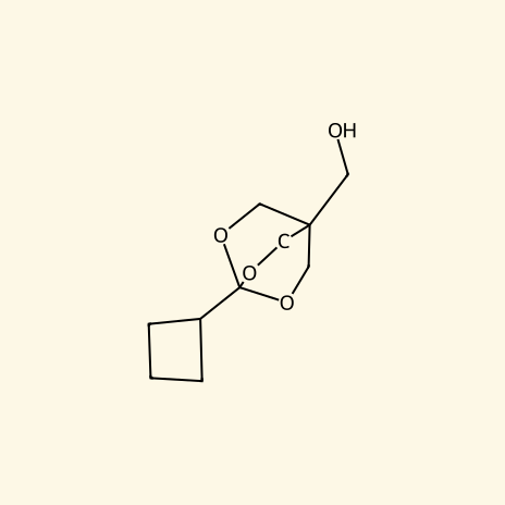 OCC12COC(C3CCC3)(OC1)OC2